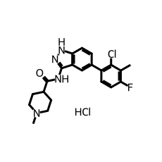 Cc1c(F)ccc(-c2ccc3[nH]nc(NC(=O)C4CCN(C)CC4)c3c2)c1Cl.Cl